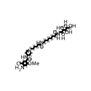 COc1cc(N)c(Cl)cc1C(=O)NC1CCN(CCCCCC(=O)NCCCCCCCC(=O)NC[C@H](O)[C@@H](O)[C@H](O)[C@H](O)CO)CC1